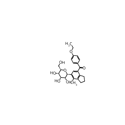 CCOc1ccc(C(=O)c2cc([C@@H]3O[C@H](CO)[C@H](O)[C@H](O)[C@@H]3O)c(C)c3c2CCC3)cc1